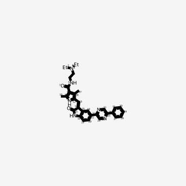 CCN(CC)CCNC(=O)c1c(C)[nH]c(/C=C2\C(=O)Nc3ccc(-c4cnc(-c5ccccc5)cn4)cc32)c1C